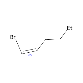 CCCC/C=C\Br